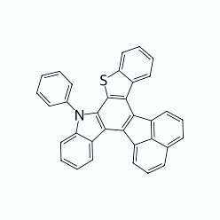 c1ccc(-n2c3ccccc3c3c4c(c5c6ccccc6sc5c32)-c2cccc3cccc-4c23)cc1